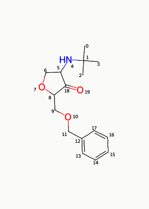 CC(C)(C)NC1COC(COCc2ccccc2)C1=O